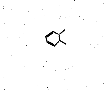 CC1C=CC=CN1I